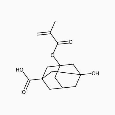 C=C(C)C(=O)OC12CC3CC(O)(C1)CC(C(=O)O)(C3)C2